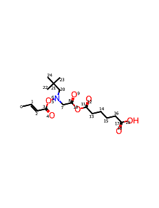 CC=CC(=O)ON(CC(=O)OC(=O)CCCCC(=O)O)CC(C)(C)C